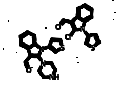 O=Cc1c(Cl)n(-c2ccsc2)c2ccccc12.O=Cc1c(N2CCNCC2)n(-c2ccsc2)c2ccccc12